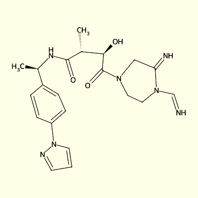 C[C@@H](NC(=O)[C@H](C)[C@@H](O)C(=O)N1CCN(C=N)C(=N)C1)c1ccc(-n2cccn2)cc1